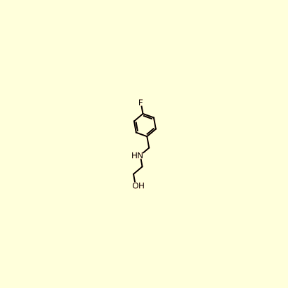 OCCNCc1ccc(F)cc1